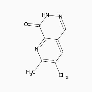 Cc1cc2cn[nH]c(=O)c2nc1C